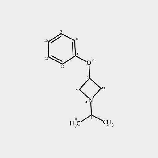 CC(C)N1CC(Oc2cc[c]cc2)C1